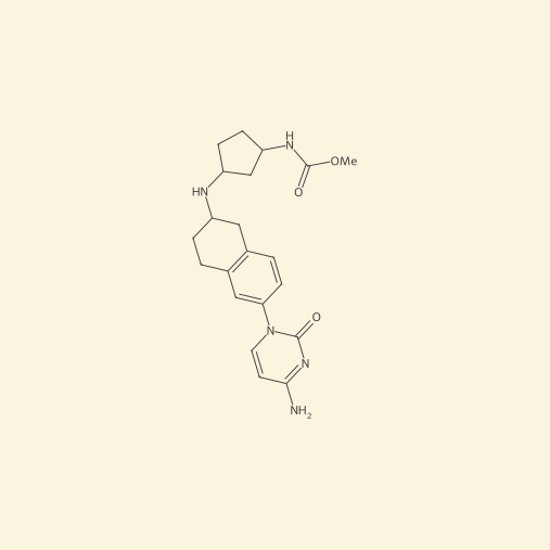 COC(=O)NC1CCC(NC2CCc3cc(-n4ccc(N)nc4=O)ccc3C2)C1